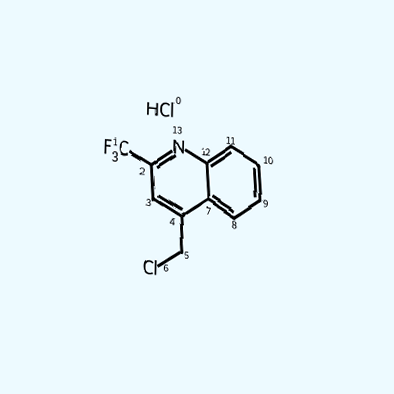 Cl.FC(F)(F)c1cc(CCl)c2ccccc2n1